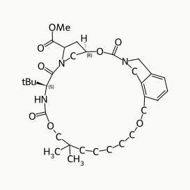 COC(=O)C1C[C@@H]2CN1C(=O)[C@H](C(C)(C)C)NC(=O)OCC(C)(C)CCCCCOCc1cccc3c1CN(C3)C(=O)O2